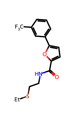 CCSCCNC(=O)c1ccc(-c2cccc(C(F)(F)F)c2)o1